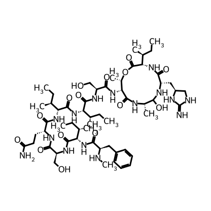 CC[C@H](C)[C@H](NC(=O)[C@@H](Cc1ccccc1)NC)C(=O)N[C@@H](CO)C(=O)N[C@H](CCC(N)=O)C(=O)N[C@@H](C(=O)N[C@H](C(=O)N[C@@H](CO)C(=O)N[C@H]1C(=O)N[C@@H](C)C(O)N[C@@H](C[C@H]2CNC(=N)N2)C(=O)N[C@@H]([C@@H](C)CC)C(=O)O[C@H]1C)[C@@H](C)CC)[C@@H](C)CC